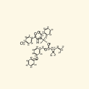 CC(C)(C)N(NC(=O)c1ccc(Cl)cc1)C(=O)c1ccccc1.CC(C)=CC1C(C(=O)OCc2cccc(Oc3ccccc3)c2)C1(C)C